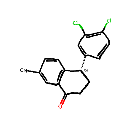 [C-]#[N+]c1ccc2c(c1)C(=O)CC[C@H]2c1ccc(Cl)c(Cl)c1